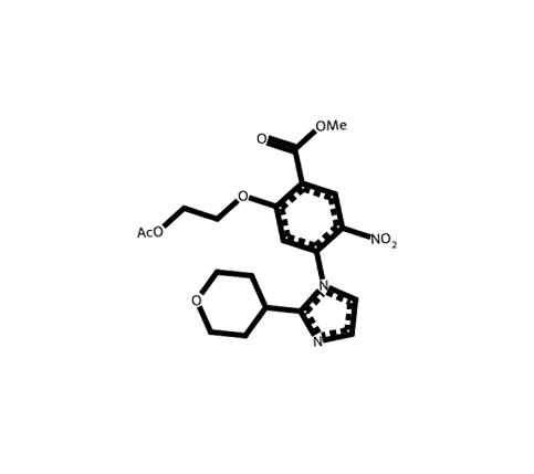 COC(=O)c1cc([N+](=O)[O-])c(-n2ccnc2C2CCOCC2)cc1OCCOC(C)=O